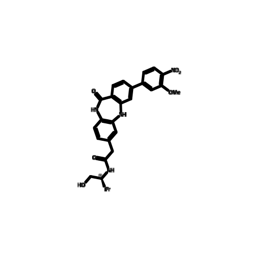 COc1cc(-c2ccc3c(c2)Nc2cc(CC(=O)N[C@H](CO)C(C)C)ccc2NC3=O)ccc1[N+](=O)[O-]